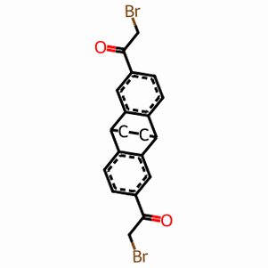 O=C(CBr)c1ccc2c(c1)C1CCC2c2cc(C(=O)CBr)ccc21